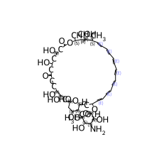 C[C@@H]1[C@H](O)[C@@H](C)/C=C/C=C/C=C/C=C/C=C/C=C/C=C/C(O[C@@H]2O[C@H](C)[C@@H](O)[C@H](N)[C@@H]2O)C[C@@H]2O[C@](O)(C[C@@H](O)[C@H](O)CCC(=O)CC(O)C[C@@H](O)CC(=O)O[C@H]1C)C[C@H](O)[C@H]2C(=O)O